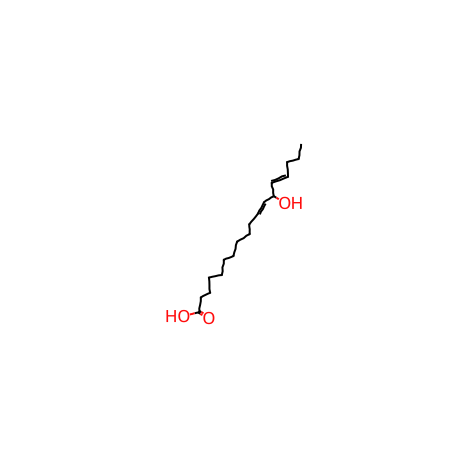 CCCC=CC(O)C=CCCCCCCCCCC(=O)O